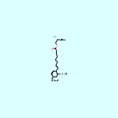 CCCCCCCC1C=CC(CCCCCCCC(=O)OC[C@H](CC)CCCCC)C(C(=O)O)C1